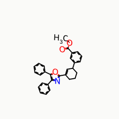 COC(=O)c1cccc(C2C=C(c3nc(-c4ccccc4)c(-c4ccccc4)o3)CCC2)c1